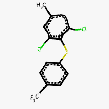 Cc1cc(Cl)c(Sc2ccc(C(F)(F)F)cc2)c(Cl)c1